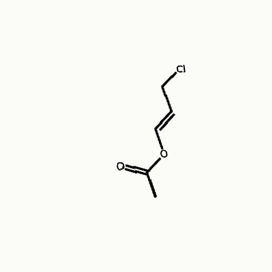 CC(=O)O/C=C/CCl